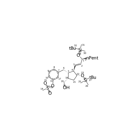 CCCCC[C@@H](/C=C/[C@@H]1[C@@H](Cc2cccc(OS(C)(=O)=O)c2)[C@@H](CO)C[C@H]1O[Si](C)(C)C(C)(C)C)O[Si](C)(C)C(C)(C)C